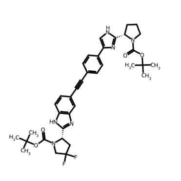 CC(C)(C)OC(=O)N1CCC[C@H]1c1nc(-c2ccc(C#Cc3ccc4[nH]c([C@@H]5CC(F)(F)CN5C(=O)OC(C)(C)C)nc4c3)cc2)c[nH]1